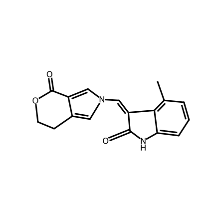 Cc1cccc2c1C(=Cn1cc3c(c1)C(=O)OCC3)C(=O)N2